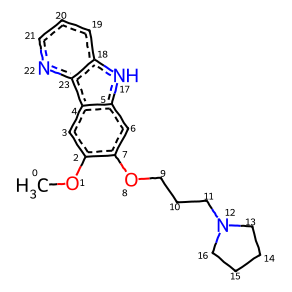 COc1cc2c(cc1OCCCN1CCCC1)[nH]c1cccnc12